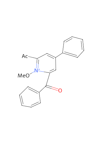 CO[n+]1c(C(C)=O)cc(-c2ccccc2)cc1C(=O)c1ccccc1